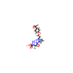 CC(=O)c1ccc(OCCCN2CCCC2NC(=O)[C@H](C)NC(=O)O)cc1